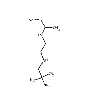 CC(C)CC(C)NCCNCC(C)(C)N